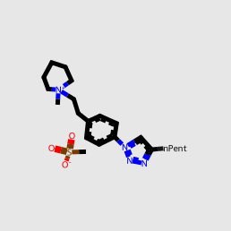 CCCCCc1cn(-c2ccc(CC[N+]3(C)CCCCC3)cc2)nn1.CS(=O)(=O)[O-]